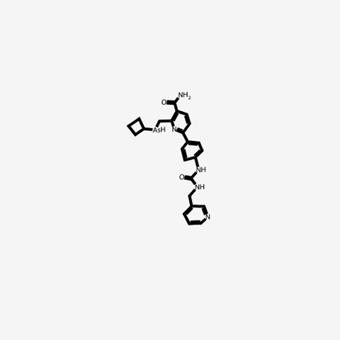 NC(=O)c1ccc(-c2ccc(NC(=O)NCc3cccnc3)cc2)nc1C[AsH]C1CCC1